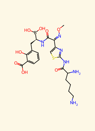 CO/N=C(\C(=O)N[C@@H](Cc1cccc(C(=O)O)c1O)B(O)O)c1csc(NC(=O)C(N)CCCCN)n1